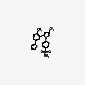 Cc1ccc(-c2cncs2)cc1-c1cc(C(F)(F)F)nn1-c1ccc(S(N)(=O)=O)cc1